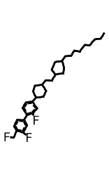 CCCCCCCCCC1CCC(CCC2CCC(c3ccc(-c4ccc(CF)c(F)c4)c(F)c3)CC2)CC1